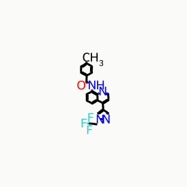 Cc1ccc(C(=O)Nc2cccc3c(-c4cnn(CC(F)(F)F)c4)ccnc23)cc1